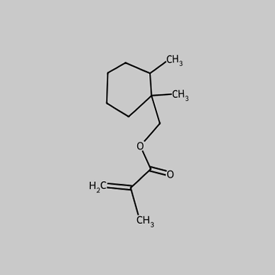 C=C(C)C(=O)OCC1(C)CCCCC1C